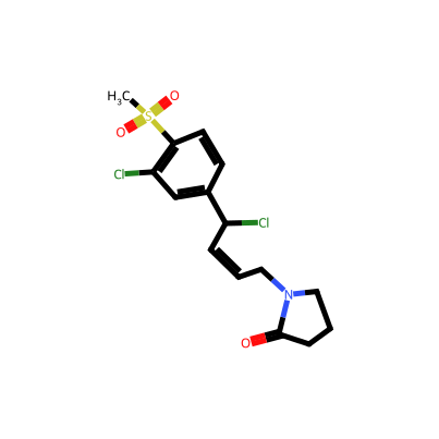 CS(=O)(=O)c1ccc(C(Cl)/C=C\CN2CCCC2=O)cc1Cl